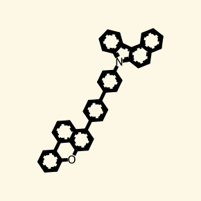 c1ccc2c(c1)Oc1ccc(-c3ccc(-c4ccc(-n5c6ccccc6c6c7ccccc7ccc65)cc4)cc3)c3cccc-2c13